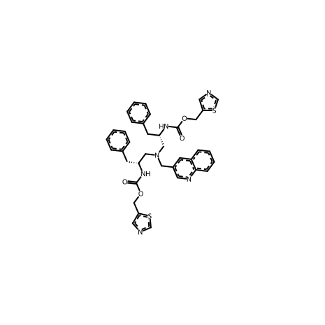 O=C(N[C@H](Cc1ccccc1)CN(Cc1cnc2ccccc2c1)C[C@H](Cc1ccccc1)NC(=O)OCc1cncs1)OCc1cncs1